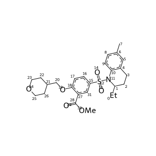 CCC1CCc2cc(C)ccc2N1S(=O)(=O)c1ccc(OCC2CCOCC2)c(C(=O)OC)c1